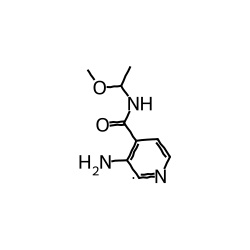 COC(C)NC(=O)c1ccn[c]c1N